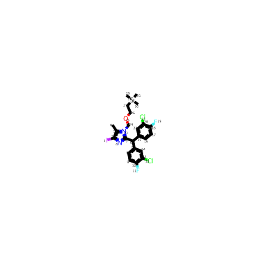 Cc1c(I)nc(C(c2ccc(F)c(Cl)c2)c2ccc(F)c(Cl)c2)n1COCC[Si](C)(C)C